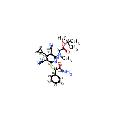 CN(CC(=O)OC(C)(C)C)c1nc(SC(C(N)=O)c2ccccc2)c(C#N)c(C2CC2)c1C#N